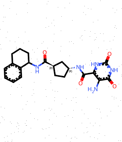 Nc1c(C(=O)N[C@@H]2CC[C@@H](C(=O)NC3CCCc4ccccc43)C2)[nH]c(=O)[nH]c1=O